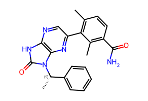 Cc1ccc(C(N)=O)c(C)c1-c1cnc2[nH]c(=O)n([C@@H](C)c3ccccc3)c2n1